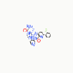 NCC(=O)N1CCN(c2ccncc2NC(=O)c2nc(-c3ccccc3F)ccc2N)CC1